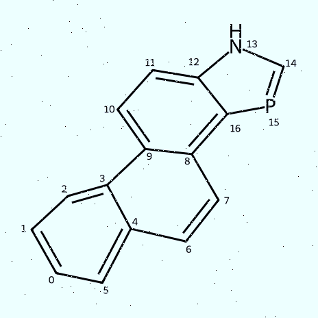 c1ccc2c(c1)ccc1c2ccc2[nH]cpc21